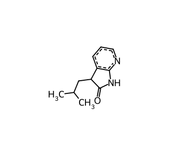 CC(C)CC1C(=O)Nc2ncccc21